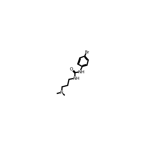 CN(C)CCCNC(=O)Nc1ccc(Br)cc1